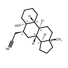 C#CC[C@@H]1C[C@@H]2[C@H](CC[C@]3(C)CCC[C@@H]23)[C@H]2CCCC[C@]12O